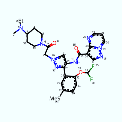 CCN(C)C1CCN(C(=O)Cn2cc(NC(=O)c3cnn4cccnc34)c(-c3cc(SC)ccc3OC(F)F)n2)CC1